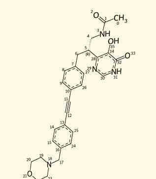 CC(=O)NC[C@@H](Cc1ccc(C#Cc2ccc(CN3CCOCC3)cc2)cc1)c1nc[nH]c(=O)c1O